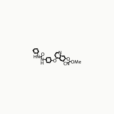 COC(C)Oc1cc2nccc(Oc3ccc(NC(=O)Nc4ccccc4)cc3)c2cc1C#N